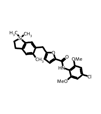 COc1cc(Cl)cc(OC)c1NC(=O)c1ccc(Cc2cc3c(cc2C)CC[Si]3(C)C)o1